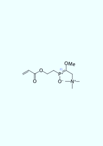 C=CC(=O)OCC/[P+]([O-])=C(/C[N+](C)(C)C)OC